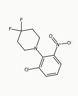 O=[N+]([O-])c1cccc(Cl)c1N1CCC(F)(F)CC1